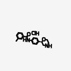 Cc1cccc(C(=O)Nc2ccc([C@@H]3CNCCO3)cc2)c1.Cl